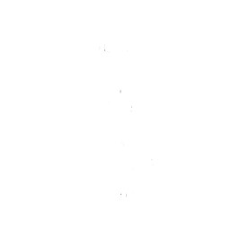 c1csc(-c2ccc3cc4cc5cc(-c6nccs6)ccc5cc4cc3c2)n1